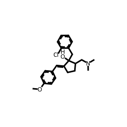 COc1ccc(/C=C2\CCC(CN(C)C)C2(O)Cc2ccccc2Cl)cc1